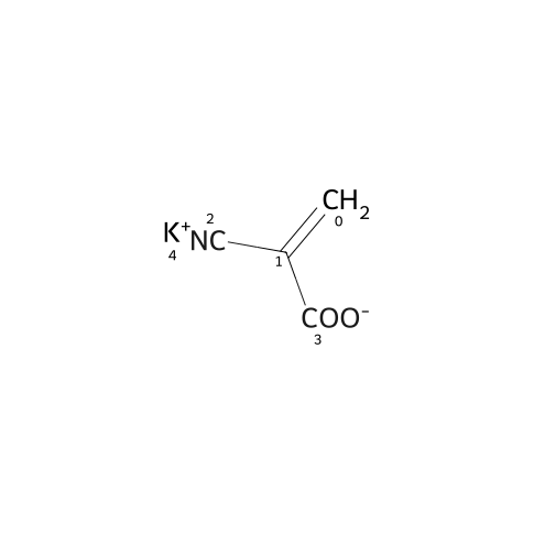 C=C(C#N)C(=O)[O-].[K+]